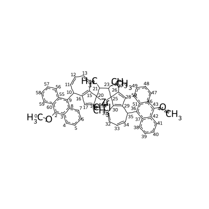 COc1c2ccccc2c(C2C=CC=CC3=C2C=C(C)[C]32C(C)C(C)[C]3(C(C)=CC4=C3C=CC=CC4c3c4ccccc4c(OC)c4ccccc34)[Zr]2([Cl])[Cl])c2ccccc12